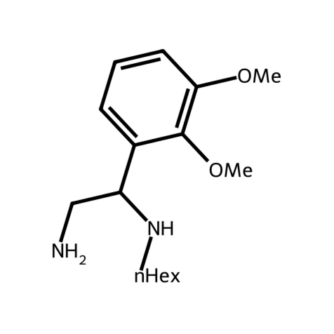 CCCCCCNC(CN)c1cccc(OC)c1OC